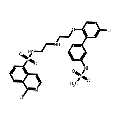 CS(=O)(=O)Nc1cccc(-c2cc(Cl)ccc2OCCNCCNS(=O)(=O)c2cccc3c(Cl)nccc23)c1